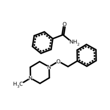 CN1CCN(OCc2ccccc2)CC1.NC(=O)c1ccccc1